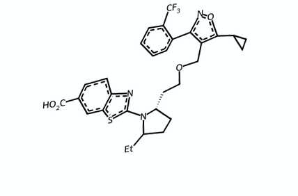 CCC1CC[C@@H](CCOCc2c(-c3ccccc3C(F)(F)F)noc2C2CC2)N1c1nc2ccc(C(=O)O)cc2s1